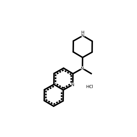 CN(c1ccc2ccccc2n1)C1CCNCC1.Cl